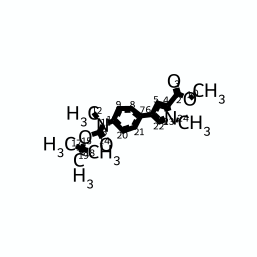 COC(=O)c1cc(-c2ccc(N(C)C(=O)OC(C)(C)C)cc2)cn1C